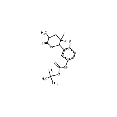 CC1CC(F)(F)C(c2cc(NC(=O)OC(C)(C)C)ccc2F)NC1=S